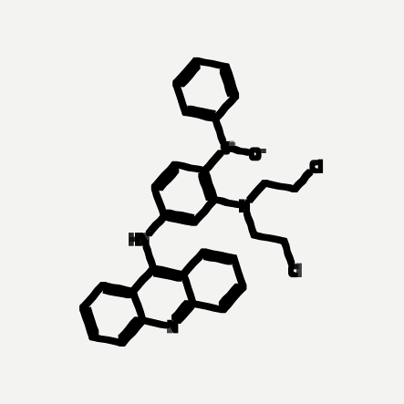 [O-][S+](c1ccccc1)c1ccc(Nc2c3ccccc3nc3ccccc23)cc1N(CCCl)CCCl